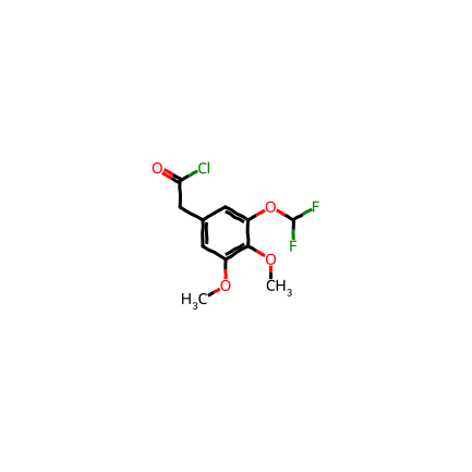 COc1cc(CC(=O)Cl)cc(OC(F)F)c1OC